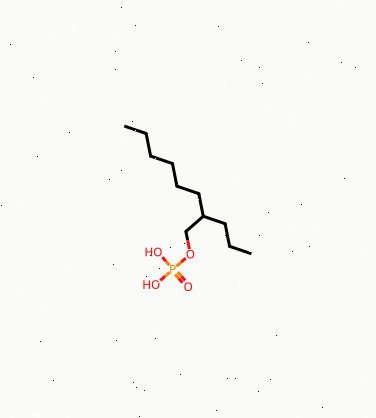 CCCCCCC(CCC)COP(=O)(O)O